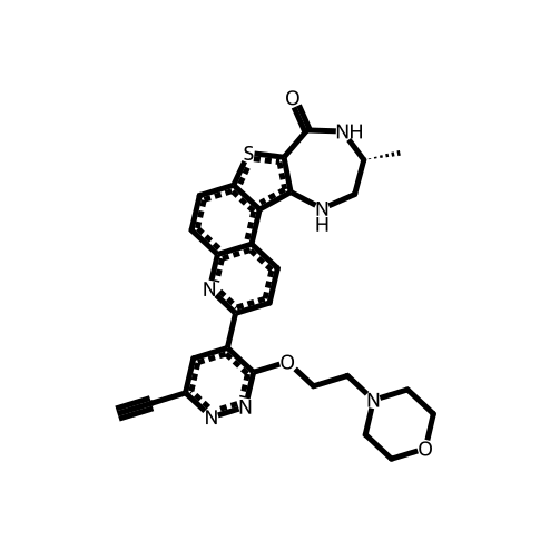 C#Cc1cc(-c2ccc3c(ccc4sc5c(c43)NC[C@@H](C)NC5=O)n2)c(OCCN2CCOCC2)nn1